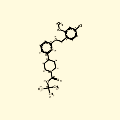 COc1cc(Cl)ccc1COc1cccc(C2CCN(C(=O)OC(C)(C)C)CC2)n1